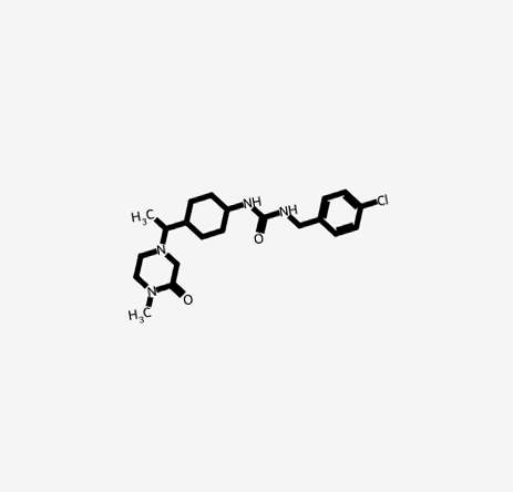 CC(C1CCC(NC(=O)NCc2ccc(Cl)cc2)CC1)N1CCN(C)C(=O)C1